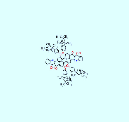 CC(C)(C)CC(C)(C)c1ccc(Oc2cc3c4c(cc(Oc5ccc(C(C)(C)CC(C)(C)C)cc5)c5c6c(Oc7ccc(C(C)(C)CC(C)(C)C)cc7)cc7c8c(cc(Oc9ccc(C(C)(C)CC(C)(C)C)cc9)c(c2c45)c86)-c2nc4ccccc4c(O)c2C7=O)-c2nc4ccccc4c(O)c2C3=O)cc1